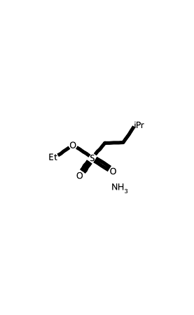 CCOS(=O)(=O)CCC(C)C.N